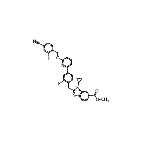 COC(=O)c1ccc2nc(Cc3ccc(-c4cccc(OCc5ccc(C#N)cc5F)n4)cc3F)n(C3CC3)c2c1